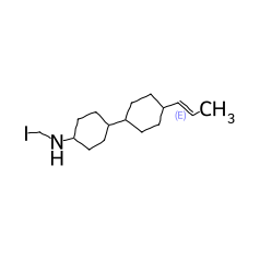 C/C=C/C1CCC(C2CCC(NCI)CC2)CC1